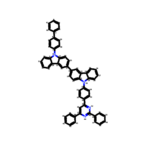 c1ccc(-c2ccc(-n3c4ccccc4c4cc(-c5ccc6c(c5)c5ccccc5n6-c5ccc(-c6cc(-c7ccccc7)nc(-c7ccccc7)n6)cc5)ccc43)cc2)cc1